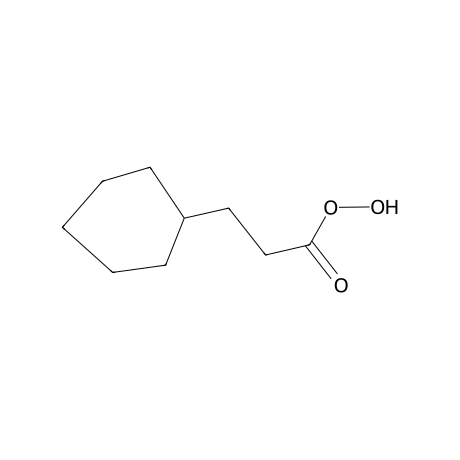 O=C(CCC1CCCCC1)OO